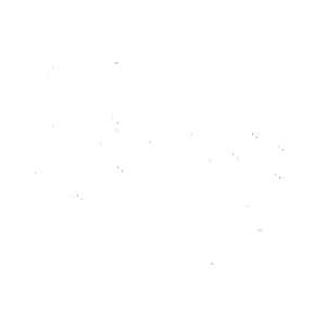 Cc1nc(C)c2c(n1)N(Cc1ccc(-c3ccccc3-c3nnn[nH]3)cc1)C(=O)C(O)C2